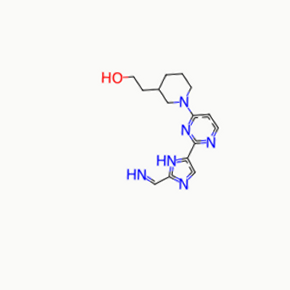 N=Cc1ncc(-c2nccc(N3CCCC(CCO)C3)n2)[nH]1